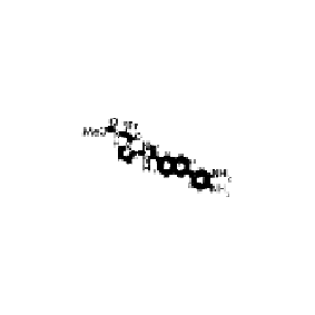 COC(=O)N[C@H](C(=O)N1CCC[C@H]1c1ncc(-c2ccc3cc(-c4ccc(N)c(N)c4)ccc3c2)[nH]1)C(C)C